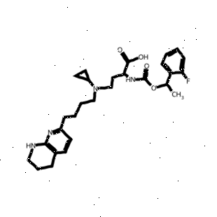 CC(OC(=O)NC(CCN(CCCCc1ccc2c(n1)NCCC2)C1CC1)C(=O)O)c1ccccc1F